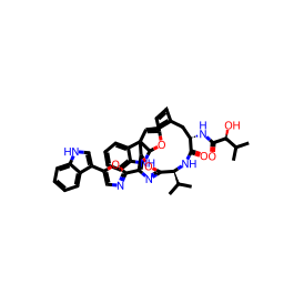 CC(C)[C@H](O)C(=O)N[C@H]1Cc2ccc3c(c2)C2(c4ccccc4NC2O3)c2oc(nc2-c2ncc(-c3c[nH]c4ccccc34)o2)[C@H](C(C)C)NC1=O